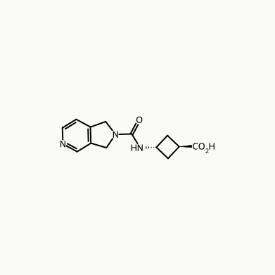 O=C(N[C@H]1C[C@H](C(=O)O)C1)N1Cc2ccncc2C1